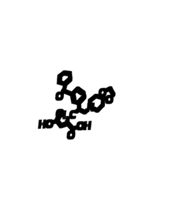 CC(CN1CCC2(CC1)OCCO2)c1cccc(C(=O)c2ccccc2)c1.O=C(O)C=CC(=O)O